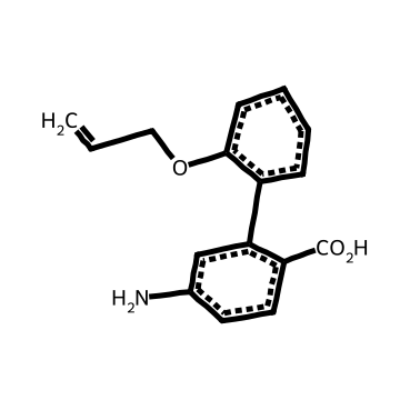 C=CCOc1ccccc1-c1cc(N)ccc1C(=O)O